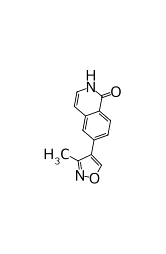 Cc1nocc1-c1ccc2c(=O)[nH]ccc2c1